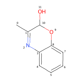 CC1=Nc2ccccc2OC1O